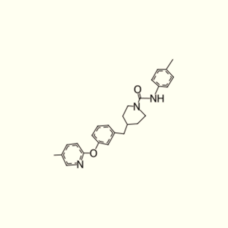 Cc1ccc(NC(=O)N2CCC(Cc3cccc(Oc4ccc(C)cn4)c3)CC2)cc1